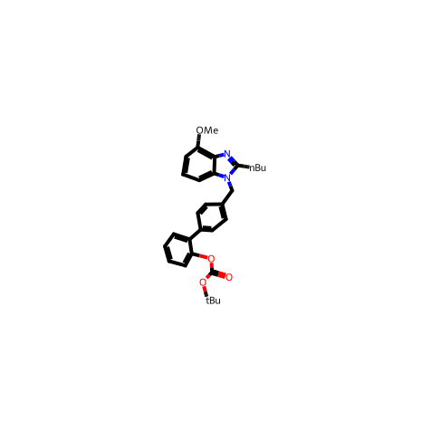 CCCCc1nc2c(OC)cccc2n1Cc1ccc(-c2ccccc2OC(=O)OC(C)(C)C)cc1